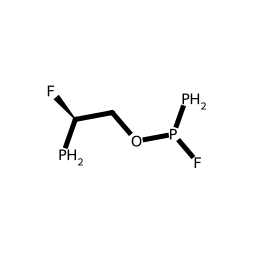 F[C@H](P)COP(F)P